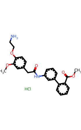 COC(=O)c1ccccc1-c1cccc(NC(=O)Cc2ccc(OCCN)c(OC)c2)c1.Cl